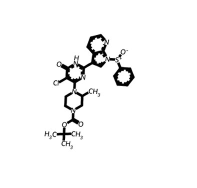 CC1CN(C(=O)OC(C)(C)C)CCN1c1nc(-c2cn([S+]([O-])c3ccccc3)c3ncccc23)[nH]c(=O)c1Cl